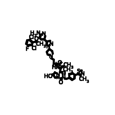 Cc1ncsc1-c1ccc(CNC(=O)[C@@H]2C[C@@H](O)CN2C(=O)[C@@H](NC(=O)CCCN2CCC(n3cc(-c4cnc(N)c(O[C@H](C)c5c(Cl)ccc(F)c5Cl)c4)cn3)CC2)C(C)(C)C)cc1